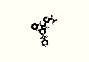 CC(=O)Nc1cc(-c2[nH]c3c(c2Nc2ccccc2)C(=O)CN(S(=O)(=O)C2CCOCC2)C3)ccn1